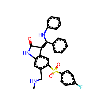 CNCc1cc2c(cc1S(=O)(=O)c1ccc(F)cc1)/C(=C(/Nc1ccccc1)c1ccccc1)C(=O)N2